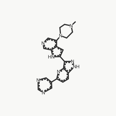 CN1CCN(c2cncc3[nH]c(-c4n[nH]c5ccc(-c6cncnc6)nc45)cc23)CC1